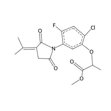 COC(=O)C(C)Oc1cc(N2C(=O)CC(=C(C)C)C2=O)c(F)cc1Cl